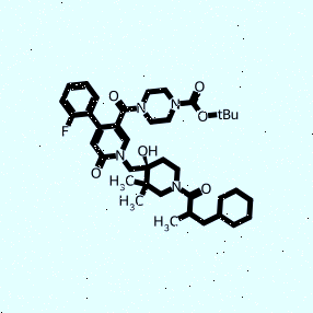 CC(CC1CCCCC1)C(=O)N1CC[C@@](O)(Cn2cc(C(=O)N3CCN(C(=O)OC(C)(C)C)CC3)c(-c3ccccc3F)cc2=O)C(C)(C)C1